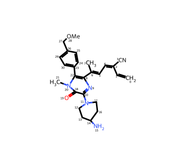 C=C/C(C#N)=C\C=C(/C)c1nc(N2CCC(N)CC2)c(=O)n(C)c1-c1ccc(COC)cc1